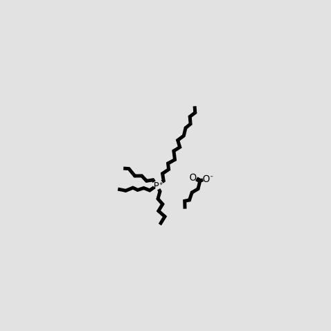 CCCCCC(=O)[O-].CCCCCCCCCCCCCC[P+](CCCCCC)(CCCCCC)CCCCCC